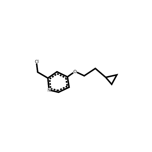 ClCc1cc(OCCC2CC2)ccn1